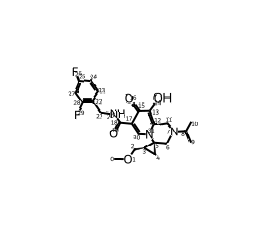 COC[C@@H]1C[C@@]12CN(C(C)C)Cc1c(O)c(=O)c(C(=O)NCc3ccc(F)cc3F)cn12